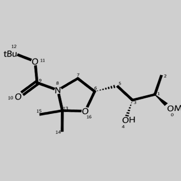 CO[C@H](C)[C@H](O)C[C@H]1CN(C(=O)OC(C)(C)C)C(C)(C)O1